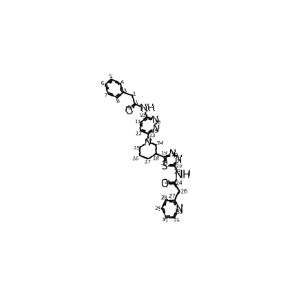 O=C(Cc1ccccc1)Nc1ccc(N2CCCC(c3nnc(NC(=O)Cc4ccccn4)s3)C2)nn1